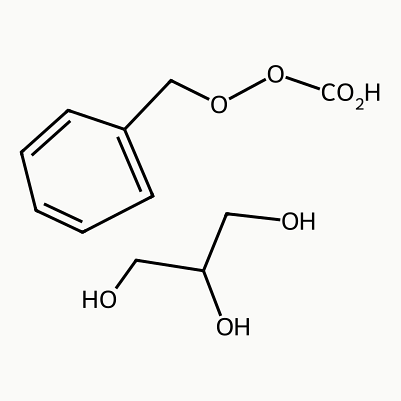 O=C(O)OOCc1ccccc1.OCC(O)CO